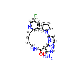 Nc1nn2ccc3nc2c1C(O)NCCCCc1ncc(F)cc1[C@H]1CCCN31